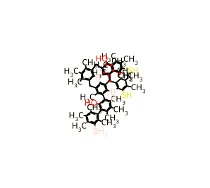 Bc1c(C)c(C)c(C)c(-c2c(C)c(C)c(C)c(-c3c(C)c4c5c(c3BC3=C(CC(C)c6c(C)c(C)c(C)c(S)c6C)C(C)C(C)C(C)=C3S)Cc3c(C)c(C)c(O)c6c3B5c3c(c(C)c(C)c(C)c3C6)C4)c2O)c1C